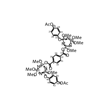 COP1(OC)=NP(OC)(OC(=O)c2ccc(C(=O)OP3(OC)=NP(OC)(Oc4ccc(OC(C)=O)cc4)=NP(OC)(OC)=N3)cc2)=NP(OC)(Oc2ccc(OC(C)=O)cc2)=N1